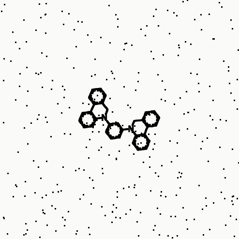 c1cc(N2Cc3ccccc3-c3ccccc32)cc(N2Cc3ccccc3-c3ccccc32)c1